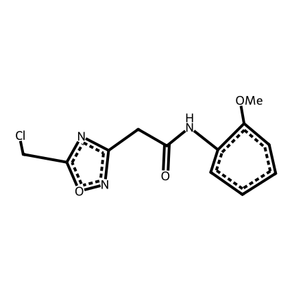 COc1ccccc1NC(=O)Cc1noc(CCl)n1